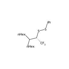 CCCCCCC(CCCCCC)[C@H](SSC(C)C)C(F)(F)F